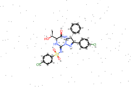 C[C@H](O)C(N/C(=N\S(=O)(=O)c1ccc(Cl)cc1)N1C[C@H](c2ccccc2)C(c2ccc(Cl)cc2)=N1)C(N)=O